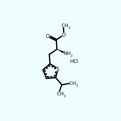 COC(=O)[C@@H](N)Cc1ccc(C(C)C)s1.Cl